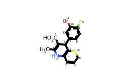 CC1=C(C(=O)O)C(c2ccc(F)c(Br)c2)C2=C(C=CCS2)N1